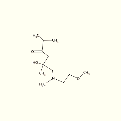 COCCN(C)CC(C)(O)CC(=O)C(C)C